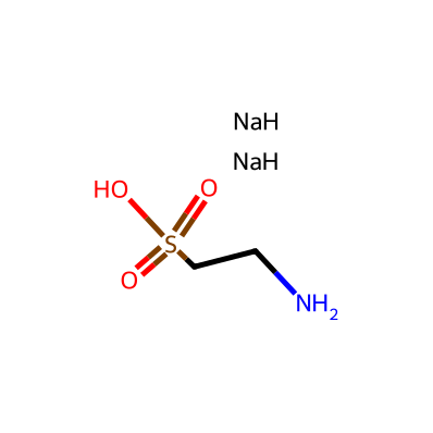 NCCS(=O)(=O)O.[NaH].[NaH]